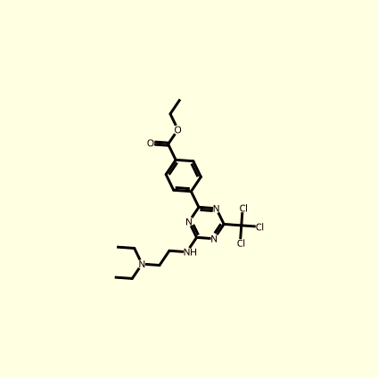 CCOC(=O)c1ccc(-c2nc(NCCN(CC)CC)nc(C(Cl)(Cl)Cl)n2)cc1